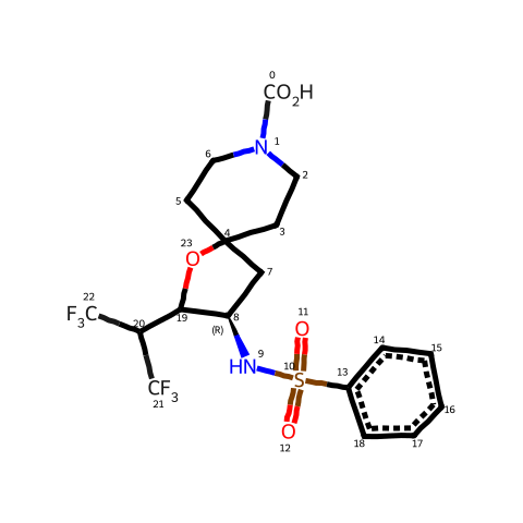 O=C(O)N1CCC2(CC1)C[C@@H](NS(=O)(=O)c1ccccc1)C(C(C(F)(F)F)C(F)(F)F)O2